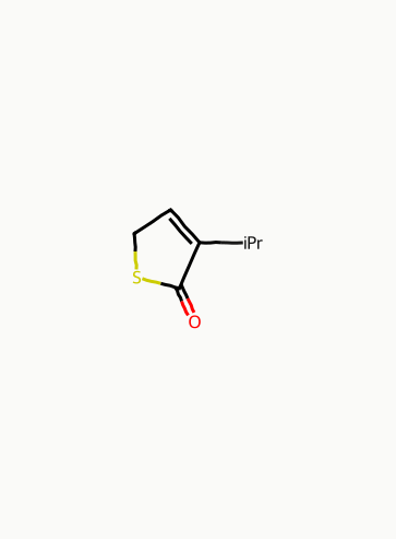 CC(C)C1=CCSC1=O